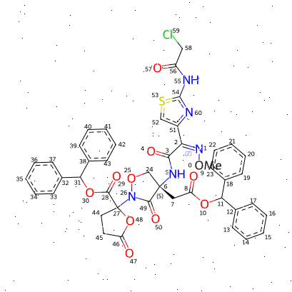 CO/N=C(\C(=O)N[C@@]1(CC(=O)OC(c2ccccc2)c2ccccc2)CON(C2(C(=O)OC(c3ccccc3)c3ccccc3)CCC(=O)O2)C1=O)c1csc(NC(=O)CCl)n1